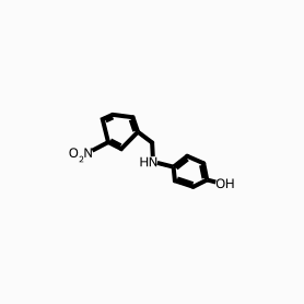 O=[N+]([O-])c1cccc(CNc2ccc(O)cc2)c1